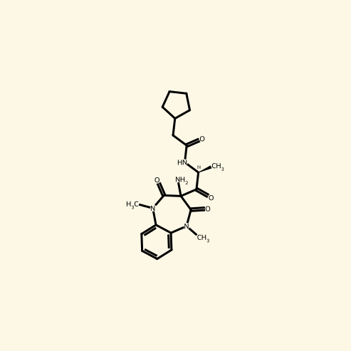 C[C@H](NC(=O)CC1CCCC1)C(=O)C1(N)C(=O)N(C)c2ccccc2N(C)C1=O